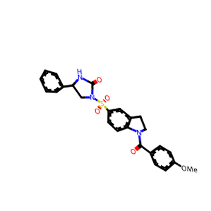 COc1ccc(C(=O)N2CCc3cc(S(=O)(=O)N4CC(c5ccccc5)NC4=O)ccc32)cc1